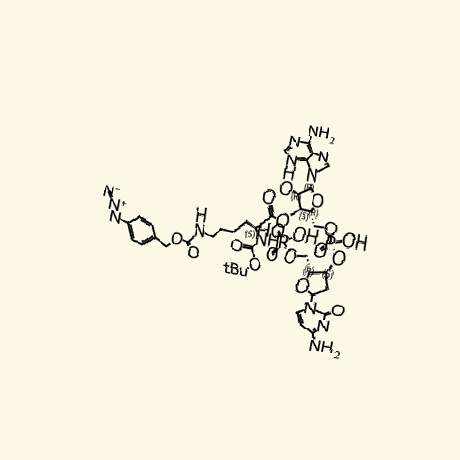 CC(C)(C)OC(=O)N[C@@H](CCCCNC(=O)OCc1ccc(N=[N+]=[N-])cc1)C(=O)O[C@H]1[C@@H](O)[C@H](n2cnc3c(N)ncnc32)O[C@@H]1COP(=O)(O)O[C@H]1CC(n2ccc(N)nc2=O)O[C@@H]1COP(=O)(O)O